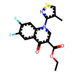 CCOC(=O)c1cn(-c2nscc2C)c2cc(F)c(F)cc2c1=O